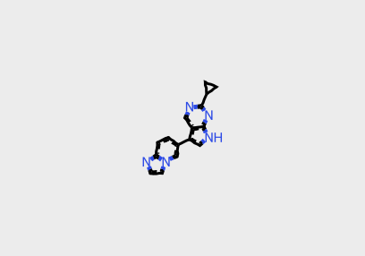 c1cn2cc(-c3c[nH]c4nc(C5CC5)ncc34)ccc2n1